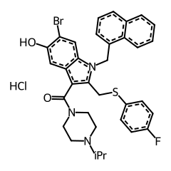 CC(C)N1CCN(C(=O)c2c(CSc3ccc(F)cc3)n(Cc3cccc4ccccc34)c3cc(Br)c(O)cc23)CC1.Cl